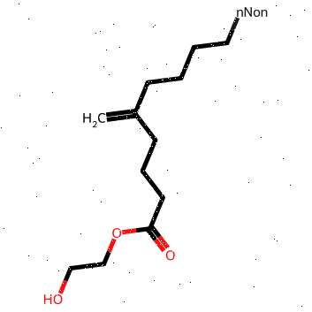 C=C(CCCCCCCCCCCCC)CCCC(=O)OCCO